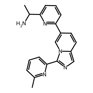 Cc1cccc(-c2ncc3ccc(-c4cccc(C(C)N)n4)cn23)n1